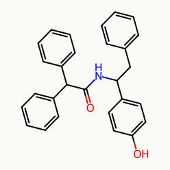 O=C(NC(Cc1ccccc1)c1ccc(O)cc1)C(c1ccccc1)c1ccccc1